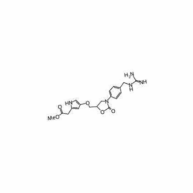 COC(=O)Cc1cc(OCC2CN(c3ccc(CNC(=N)N)cc3)C(=O)O2)c[nH]1